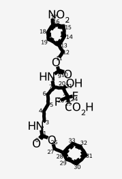 O=C(NCCCCC(NC(=O)OCc1ccc([N+](=O)[O-])cc1)C(O)C(F)(F)C(=O)O)OCc1ccccc1